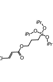 CC(C)O[Si](CCCOC(=O)C=CCl)(OC(C)C)OC(C)C